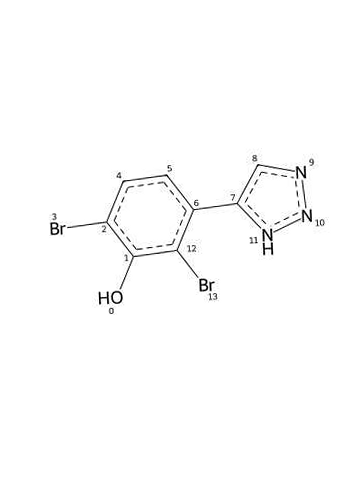 Oc1c(Br)ccc(-c2cnn[nH]2)c1Br